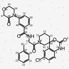 O=C1Nc2ccc(Cl)cc2C2(CCCN(C(=O)[C@H](Cc3ccccc3)NC(=O)c3cccc(N4CCOCC4=O)c3)C2)O1